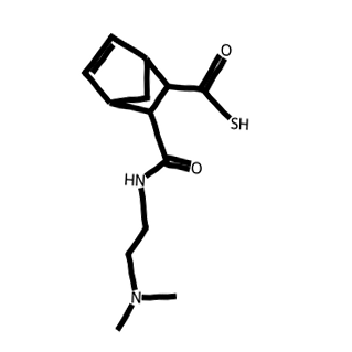 CN(C)CCNC(=O)C1C2C=CC(C2)C1C(=O)S